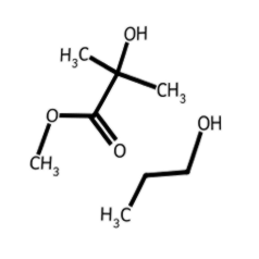 CCCO.COC(=O)C(C)(C)O